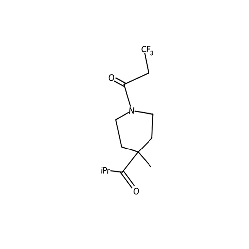 CC(C)C(=O)C1(C)CCN(C(=O)CC(F)(F)F)CC1